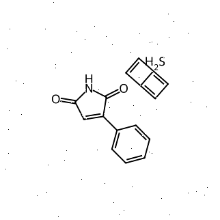 O=C1C=C(c2ccccc2)C(=O)N1.S.c1cc2ccc1-2